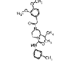 COc1ccc(CC(=O)N2CCN(C(=O)Nc3cccc(C)c3)C(C(C)C)C2)cc1OC